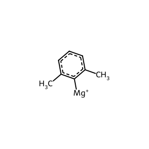 Cc1cccc(C)[c]1[Mg+]